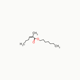 CCCC=C(C)C(=O)OCCCCCCC